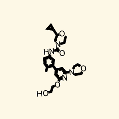 Cc1ccc(NC(=O)N2CCOC(C3CC3)C2)cc1-c1cc(OCCO)nc(N2CCOCC2)c1